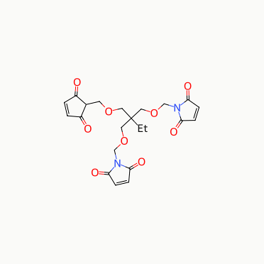 CCC(COCC1C(=O)C=CC1=O)(COCN1C(=O)C=CC1=O)COCN1C(=O)C=CC1=O